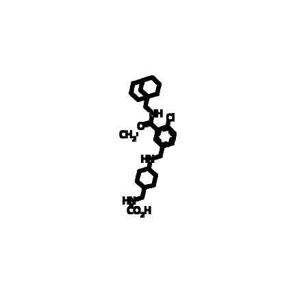 O=C(O)NCC1CCC(NCc2ccc(Cl)c(C(=O)NCC34CCCC(CCC3)C4)c2)CC1.[CH2]